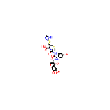 O=C(O)C1=C(CSc2nnc[nH]2)CS[C@H]2[C@H](NC(=O)C(NC(=O)c3coc4cc(O)c(O)cc4c3=O)c3ccc(O)cc3)C(=O)N12